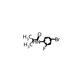 C[C](C)C(=O)Nc1ccc(Br)cc1F